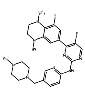 CCN1CCN(Cc2ccc(Nc3ncc(F)c(-c4cc(F)c5c(c4)N(C(C)C)CCN5C)n3)nc2)CC1